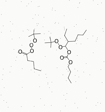 CCCCC(=O)OOOC(C)(C)C.CCCCOC(=O)OC(OOC(C)(C)C)C(CC)CCCC